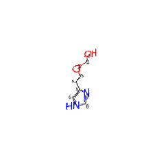 OCOCCc1c[nH]cn1